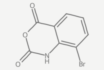 O=c1[nH]c2c(Br)cccc2c(=O)o1